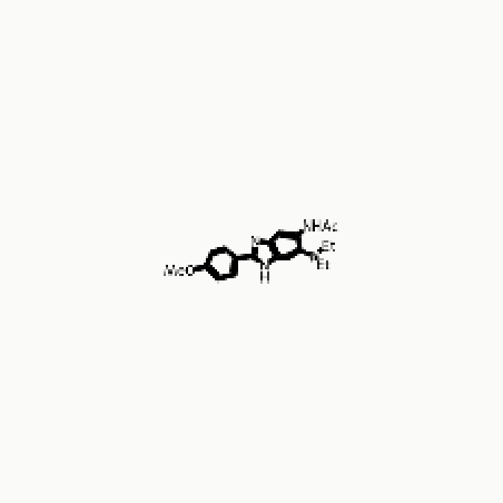 CCN(CC)c1cc2[nH]c(-c3ccc(OC)cc3)nc2cc1NC(C)=O